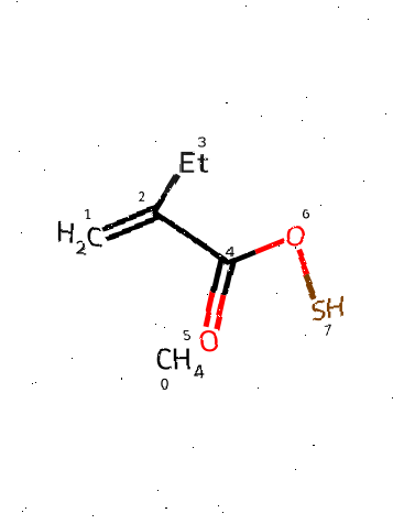 C.C=C(CC)C(=O)OS